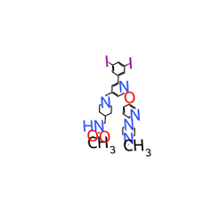 COC(=O)NCC1CCN(Cc2cc(Oc3ccc(N4CCN(C)CC4)nc3)nc(-c3cc(I)cc(I)c3)c2)CC1